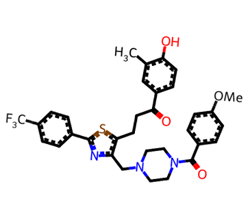 COc1ccc(C(=O)N2CCN(Cc3nc(-c4ccc(C(F)(F)F)cc4)sc3CCC(=O)c3ccc(O)c(C)c3)CC2)cc1